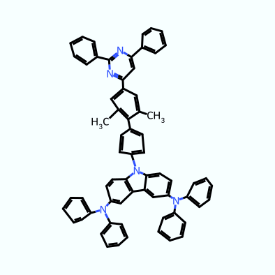 Cc1cc(-c2cc(-c3ccccc3)nc(-c3ccccc3)n2)cc(C)c1-c1ccc(-n2c3ccc(N(c4ccccc4)c4ccccc4)cc3c3cc(N(c4ccccc4)c4ccccc4)ccc32)cc1